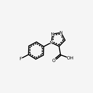 O=C(O)c1cnnn1-c1ccc(F)cc1